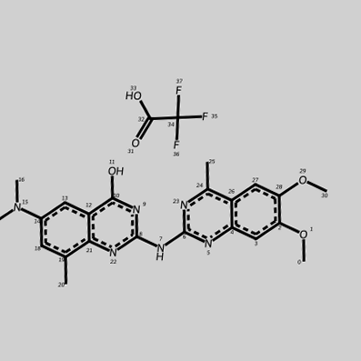 COc1cc2nc(Nc3nc(O)c4cc(N(C)C)cc(C)c4n3)nc(C)c2cc1OC.O=C(O)C(F)(F)F